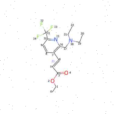 CCOC(=O)/C=C/c1ccc(C(F)(F)F)nc1CN(CC)CC